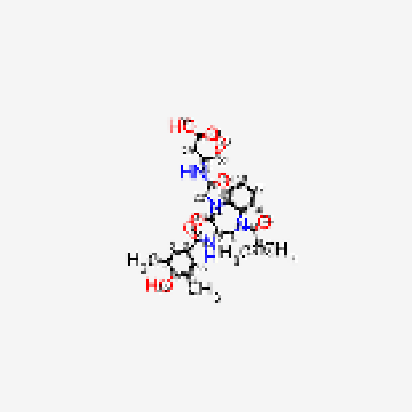 Cc1cc(C(=O)N[C@H]2CN(C(=O)C(C)C)c3ccccc3N(CC(=O)N[C@H](C=O)CC(=O)O)C2=O)cc(C)c1O